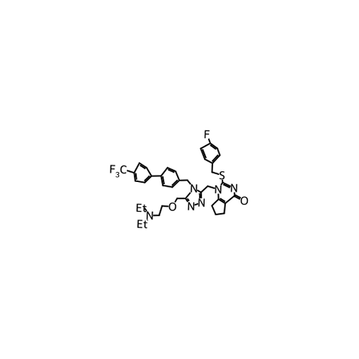 CCN(CC)CCOCc1nnc(Cn2c(SCc3ccc(F)cc3)nc(=O)c3c2CCC3)n1Cc1ccc(-c2ccc(C(F)(F)F)cc2)cc1